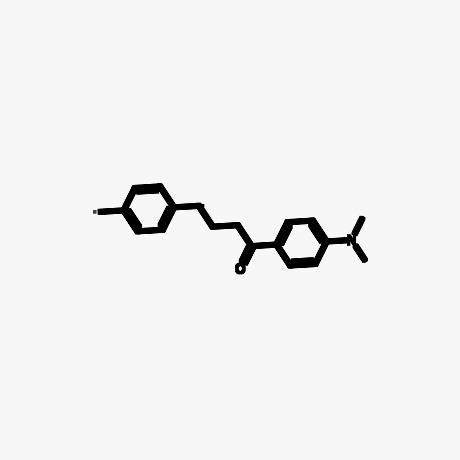 [CH2]c1ccc([CH]CCC(=O)c2ccc(N(C)C)cc2)cc1